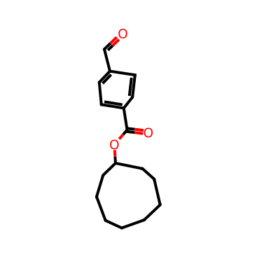 O=Cc1ccc(C(=O)OC2CCCCCCCC2)cc1